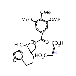 COc1cc(C(=O)OCC2(N(C)C)CCCc3occc32)cc(OC)c1OC.O=C(O)/C=C\C(=O)O